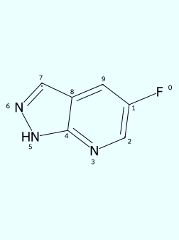 Fc1cnc2[nH]n[c]c2c1